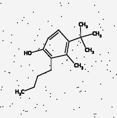 CCCCc1c(O)ccc(C(C)(C)C)c1C